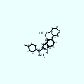 CC1CCC([C@H](N)c2nc3c(F)c(C4COCCN4C(=O)O)ccc3[nH]2)CC1